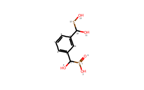 O=S(O)C(O)c1cccc(C(O)SO)c1